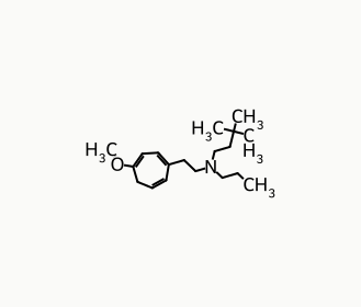 CCCN(CCC1=CC=C(OC)CC=C1)CCC(C)(C)C